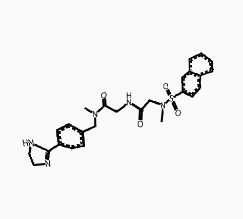 CN(Cc1ccc(C2=NCCN2)cc1)C(=O)CNC(=O)CN(C)S(=O)(=O)c1ccc2ccccc2c1